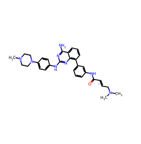 CN(C)C/C=C/C(=O)Nc1cccc(-c2cccc3c(N)nc(Nc4ccc(N5CCN(C)CC5)cc4)nc23)c1